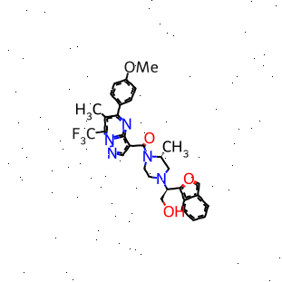 COc1ccc(-c2nc3c(C(=O)N4CCN([C@H](CO)c5occ6ccccc56)C[C@H]4C)cnn3c(C(F)(F)F)c2C)cc1